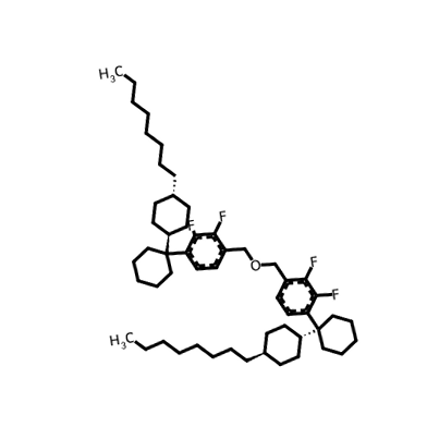 CCCCCCCC[C@H]1CC[C@H](C2(c3ccc(COCc4ccc(C5([C@H]6CC[C@H](CCCCCCCC)CC6)CCCCC5)c(F)c4F)c(F)c3F)CCCCC2)CC1